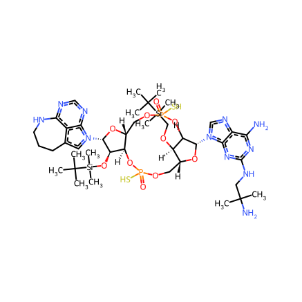 CC(C)(N)CNc1nc(N)c2ncn([C@@H]3O[C@@H]4COP(=O)(S)O[C@H]5[C@@H](O[Si](C)(C)C(C)(C)C)[C@H](n6cc7c8c(ncnc86)NCCC7)O[C@@H]5COP(=O)(S)O[C@@H]3[C@@H]4OC[Si](C)(C)C(C)(C)C)c2n1